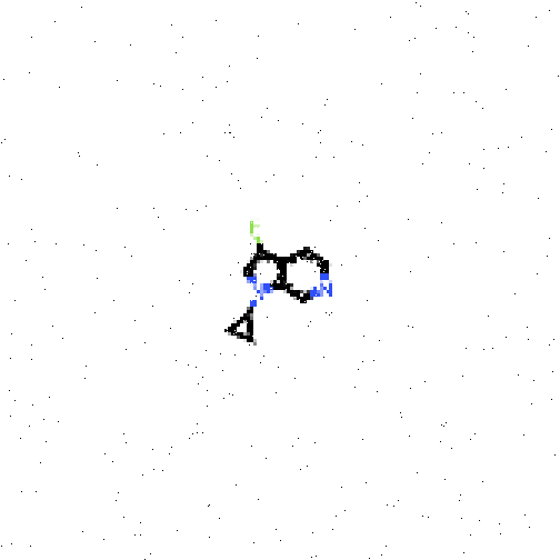 Fc1cn(C2CC2)c2cnccc12